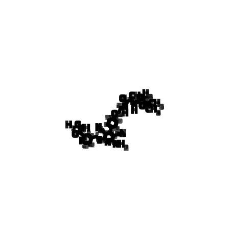 CNC(=O)c1cc(CSc2nc(N)c(C#N)c(-c3ccc(OCCNC(=O)[C@H](C)NC(=O)OC(C)(C)C)cc3)c2C#N)ccn1